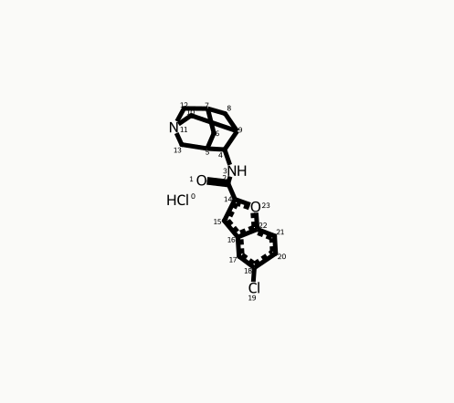 Cl.O=C(NC1C2CC3CC1CN(C3)C2)c1cc2cc(Cl)ccc2o1